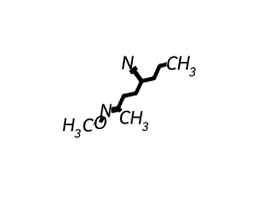 CCCC(C#N)CC/C(C)=N/OC